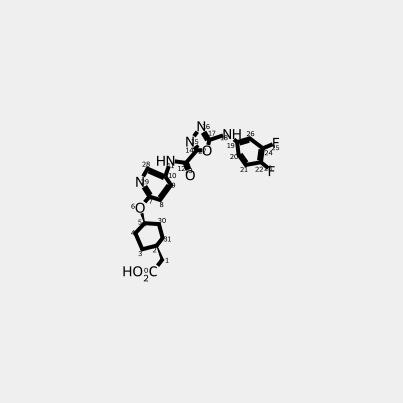 O=C(O)C[C@H]1CC[C@@H](Oc2ccc(NC(=O)c3nnc(Nc4ccc(F)c(F)c4)o3)cn2)CC1